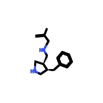 C=C(C)CNC[C@H]1CNC[C@H]1Cc1ccccc1